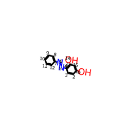 Oc1ccc(/N=N/c2ccccc2)c(O)c1